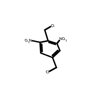 O=[N+]([O-])c1cc(CCl)cc([N+](=O)[O-])c1CCl